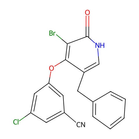 N#Cc1cc(Cl)cc(Oc2c(Cc3ccccc3)c[nH]c(=O)c2Br)c1